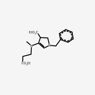 CCOC(=O)CCN(C)C1=CN(Cc2ccccc2)CC1C(=O)OCC